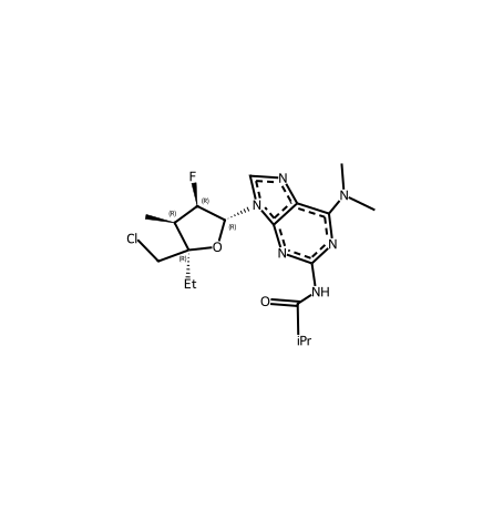 CC[C@@]1(CCl)O[C@@H](n2cnc3c(N(C)C)nc(NC(=O)C(C)C)nc32)[C@H](F)[C@@H]1C